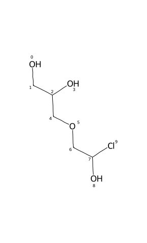 OCC(O)COCC(O)Cl